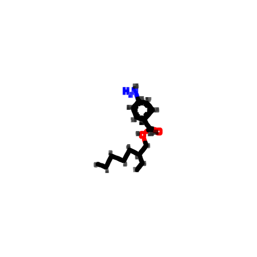 CCCCCC(CC)COC(=O)c1ccc(N)cc1